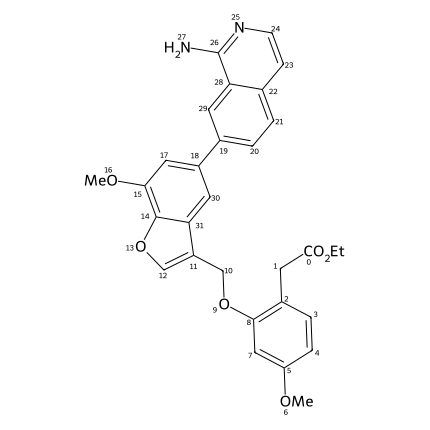 CCOC(=O)Cc1ccc(OC)cc1OCc1coc2c(OC)cc(-c3ccc4ccnc(N)c4c3)cc12